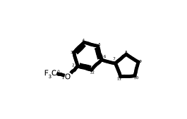 FC(F)(F)Oc1cccc(C2CCCC2)c1